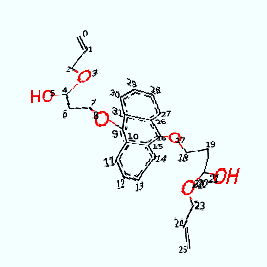 C=CCOC(O)CCOc1c2ccccc2c(OCCC(O)OCC=C)c2ccccc12